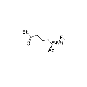 CCN[C@H](CCCC(=O)CC)C(C)=O